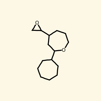 C1CCCC(C2CC(C3CO3)CCCO2)CC1